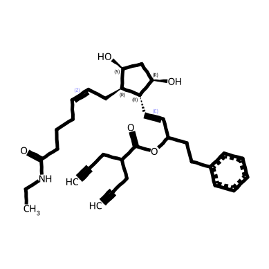 C#CCC(CC#C)C(=O)OC(/C=C/[C@@H]1[C@@H](C/C=C\CCCC(=O)NCC)[C@@H](O)C[C@H]1O)CCc1ccccc1